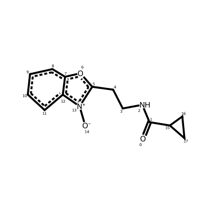 O=C(NCCc1oc2ccccc2[n+]1[O-])C1CC1